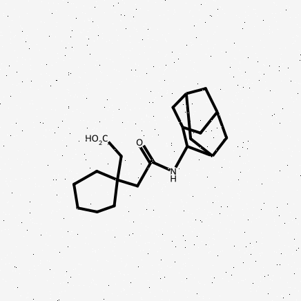 O=C(O)CC1(CC(=O)NC2C3CC4CC(C3)CC2C4)CCCCC1